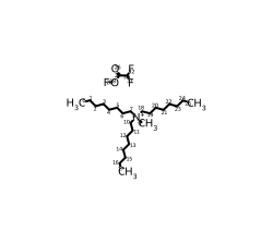 CCCCCCCC[N+](C)(CCCCCCCC)CCCCCCCC.O=C(OF)C(F)F